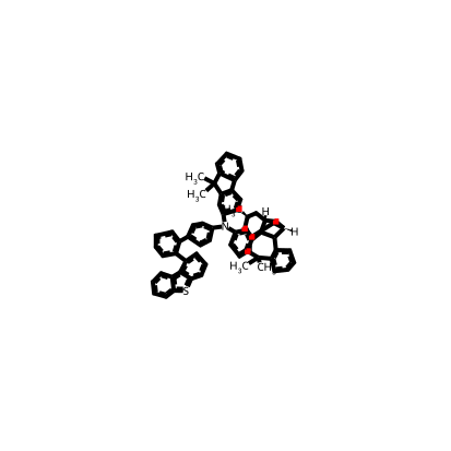 C[C@H]1C[C@@H]2C[C@@H]3C[C@H](C1)C21c2cc(N(c4ccc(-c5ccccc5-c5cccc6sc7ccccc7c56)cc4)c4ccc5c(c4)C(C)(C)c4ccccc4-5)ccc2C(C)(C)c2ccccc2C31